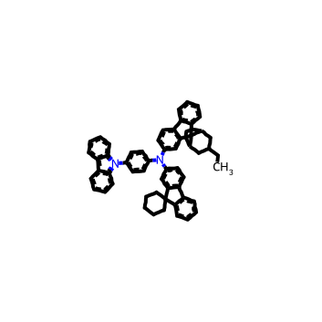 CCC1CC2CCCC(C1)C21c2ccccc2-c2ccc(N(c3ccc(-n4c5ccccc5c5ccccc54)cc3)c3ccc4c(c3)C3(CCCCC3)c3ccccc3-4)cc21